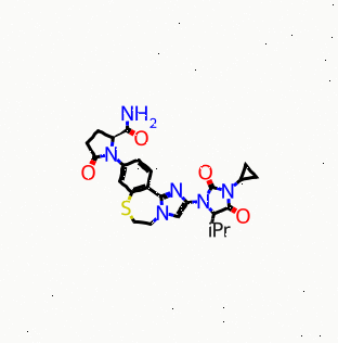 CC(C)C1C(=O)N(C2CC2)C(=O)N1c1cn2c(n1)-c1ccc(N3C(=O)CC[C@H]3C(N)=O)cc1SCC2